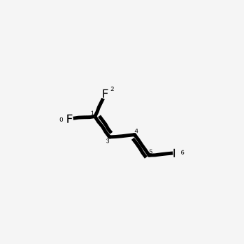 FC(F)=C/C=C/I